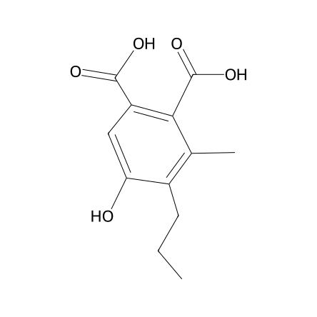 CCCc1c(O)cc(C(=O)O)c(C(=O)O)c1C